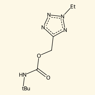 CCn1nnc(COC(=O)NC(C)(C)C)n1